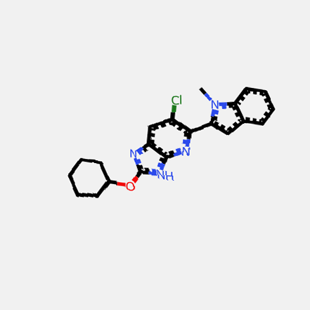 Cn1c(-c2nc3[nH]c(OC4CCCCC4)nc3cc2Cl)cc2ccccc21